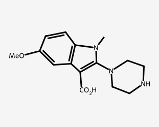 COc1ccc2c(c1)c(C(=O)O)c(N1CCNCC1)n2C